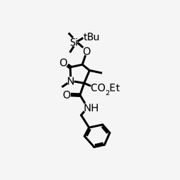 CCOC(=O)C1(C(=O)NCc2ccccc2)C(C)C(O[Si](C)(C)C(C)(C)C)C(=O)N1C